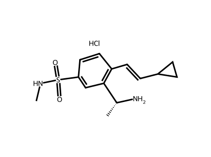 CNS(=O)(=O)c1ccc(/C=C/C2CC2)c([C@@H](C)N)c1.Cl